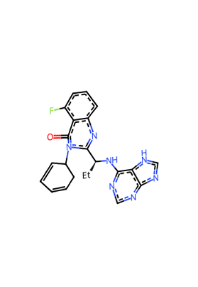 CC[C@H](Nc1ncnc2nc[nH]c12)c1nc2cccc(F)c2c(=O)n1C1C=CC=CC1